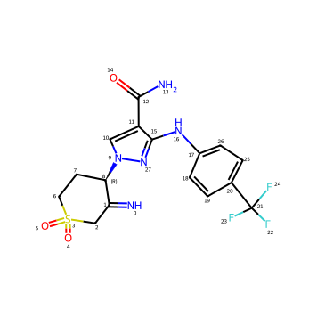 N=C1CS(=O)(=O)CC[C@H]1n1cc(C(N)=O)c(Nc2ccc(C(F)(F)F)cc2)n1